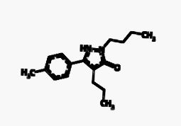 CCCCn1[nH]c(-c2ccc(C)cc2)c(CCC)c1=O